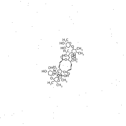 C[C@@H]1[C@@H](C)O[C@@](O)([C@@H](C)[C@H](O)[C@H](C)[C@H]2OC(=O)/C=C/C=C/[C@H](C)[C@@H]([C@@H](C)[C@@H](O)[C@H](C)[C@@]3(O)C[C@@H](O[C@H]4C[C@H](O)[C@H](O)[C@H](C)O4)[C@H](C)[C@@H](C)O3)OC(=O)/C=C/C=C/[C@@H]2C)C[C@H]1O[C@@H]1C[C@H](O)[C@H](O)[C@H](C)O1